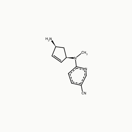 CN(c1ccc(C#N)cn1)[C@H]1C=C[C@@H](N)C1